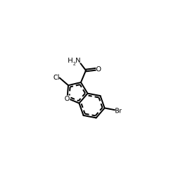 NC(=O)c1c(Cl)oc2ccc(Br)cc12